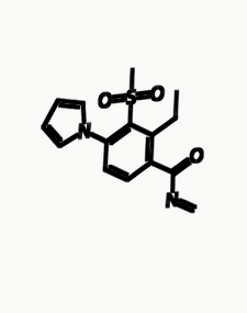 C=NC(=O)c1ccc(-n2cccc2)c(S(C)(=O)=O)c1CC